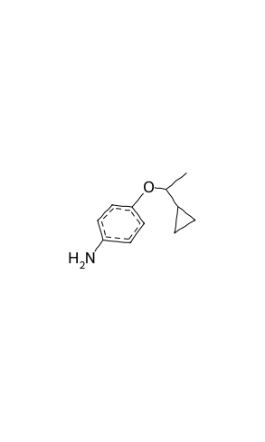 CC(Oc1ccc(N)cc1)C1CC1